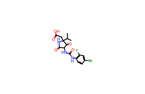 CC(C)C1(CC(=O)O)NC(=O)C(NC(=O)Nc2ccc(Br)cc2F)C1=O